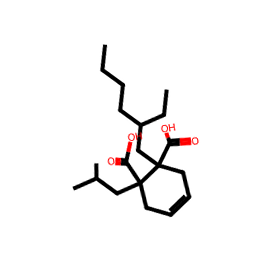 CCCCC(CC)CC1(C(=O)O)CC=CCC1(CC(C)C)C(=O)O